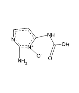 Nc1nccc(NC(=O)O)[n+]1[O-]